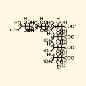 CCCCCCCCCCC(O)C(O)(O)C(O)(O)C(=O)[O-].CCCCCCCCCCC(O)C(O)(O)C(O)(O)C(=O)[O-].CCCCCCCCCCC(O)C(O)(O)C(O)(O)C(=O)[O-].CCCCCCCCCCC(O)C(O)(O)C(O)(O)C(=O)[O-].CCCCCCCCCCC(O)C(O)(O)C(O)(O)C(=O)[O-].CCCCCCCCCCC(O)C(O)(O)C(O)(O)C(=O)[O-].[Cr+3].[Cr+3]